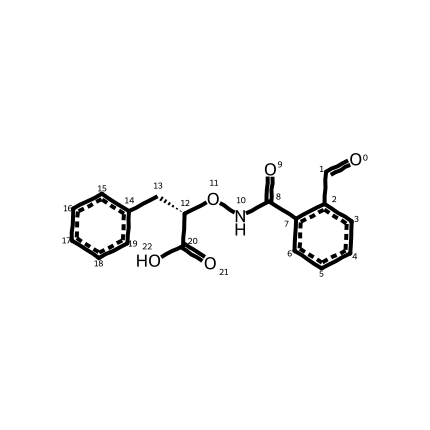 O=Cc1ccccc1C(=O)NO[C@@H](Cc1ccccc1)C(=O)O